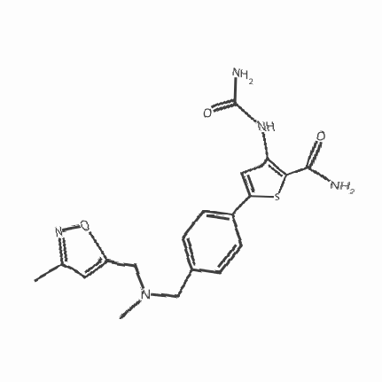 Cc1cc(CN(C)Cc2ccc(-c3cc(NC(N)=O)c(C(N)=O)s3)cc2)on1